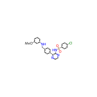 COc1cccc(NCc2ccc(-c3nccnc3NS(=O)(=O)c3ccc(Cl)cc3)cc2)c1